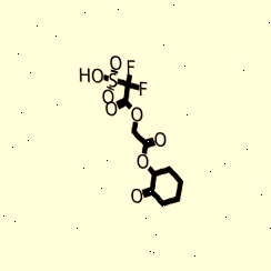 O=C(COC(=O)C(F)(F)S(=O)(=O)O)OC1CCCCC1=O